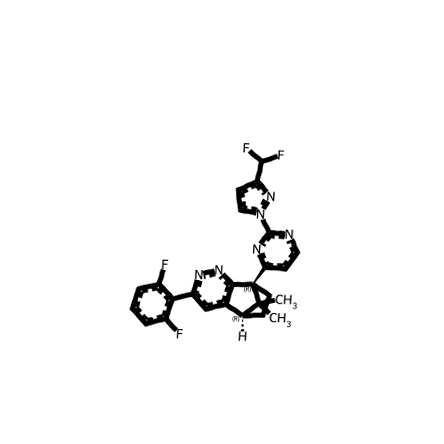 CC1(C)[C@H]2CC[C@@]1(c1ccnc(-n3ccc(C(F)F)n3)n1)c1nnc(-c3c(F)cccc3F)cc12